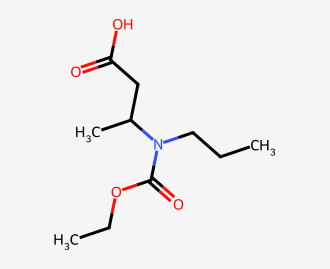 CCCN(C(=O)OCC)C(C)CC(=O)O